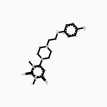 Cn1c(N2CCN(CCOc3ccc(Cl)cc3)CC2)cc(=O)n(C)c1=O